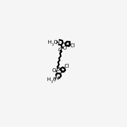 CN1CC[C@H](c2ccc(Cl)cc2)C(C(=O)OCCCCCCCCOC(=O)[C@H]2CN(C)CC[C@@H]2c2ccc(Cl)cc2)C1